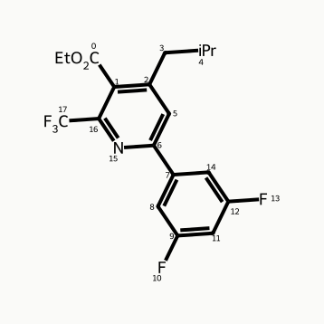 CCOC(=O)c1c(CC(C)C)cc(-c2cc(F)cc(F)c2)nc1C(F)(F)F